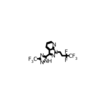 FC(F)(F)c1n[nH]c(-c2nn(CCC(F)(F)C(F)(F)F)c3ncccc23)n1